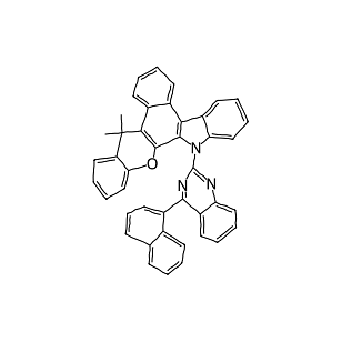 CC1(C)c2ccccc2Oc2c1c1ccccc1c1c3ccccc3n(-c3nc(-c4cccc5ccccc45)c4ccccc4n3)c21